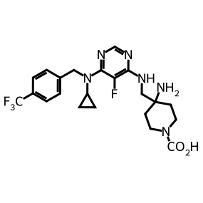 NC1(CNc2ncnc(N(Cc3ccc(C(F)(F)F)cc3)C3CC3)c2F)CCN(C(=O)O)CC1